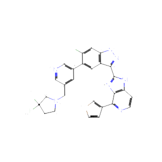 Fc1cc2[nH]nc(-c3nc4c(-c5ccsc5)nccc4[nH]3)c2cc1-c1cncc(CN2CCC(F)(F)C2)c1